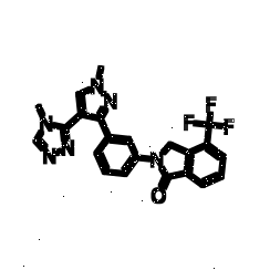 Cn1cc(-c2nncn2C)c(-c2cccc(N3Cc4c(cccc4C(F)(F)F)C3=O)c2)n1